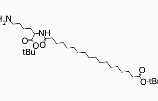 CC(C)(C)OC(=O)CCCCCCCCCCCCCCCCC(=O)NC(CCCCN)C(=O)OC(C)(C)C